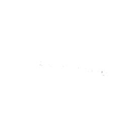 CCCCCCCCCCCCCCCCCCOCCOCCOCC